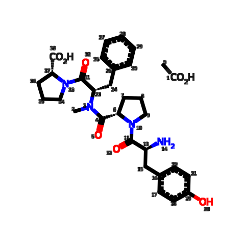 CC(=O)O.CN(C(=O)[C@@H]1CCCN1C(=O)[C@@H](N)Cc1ccc(O)cc1)[C@@H](Cc1ccccc1)C(=O)N1CCC[C@@H]1C(=O)O